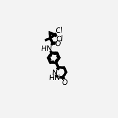 CC1(C(=O)Nc2ccc(C3=NNC(=O)CC3)cc2)CC1(Cl)Cl